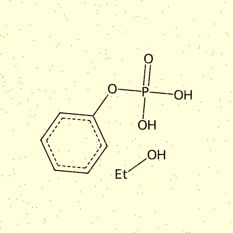 CCO.O=P(O)(O)Oc1ccccc1